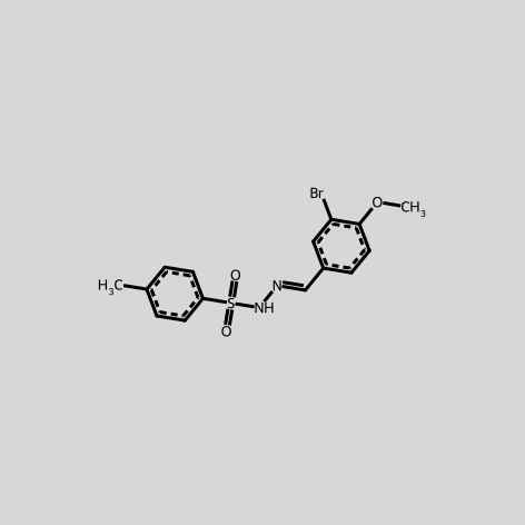 COc1ccc(C=NNS(=O)(=O)c2ccc(C)cc2)cc1Br